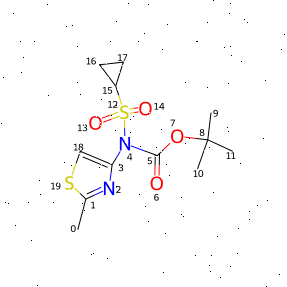 Cc1nc(N(C(=O)OC(C)(C)C)S(=O)(=O)C2CC2)cs1